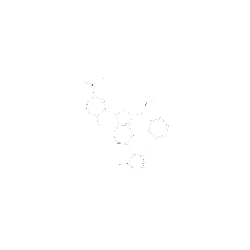 CC[C@@H](c1ccccn1)n1cc(-c2cc(C(=O)O)ccc2Cl)c2ncc(-c3c(C)noc3C)cc21